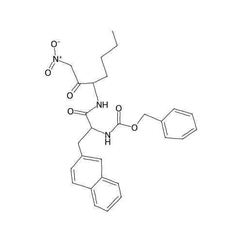 CCCCC(NC(=O)C(Cc1ccc2ccccc2c1)NC(=O)OCc1ccccc1)C(=O)C[N+](=O)[O-]